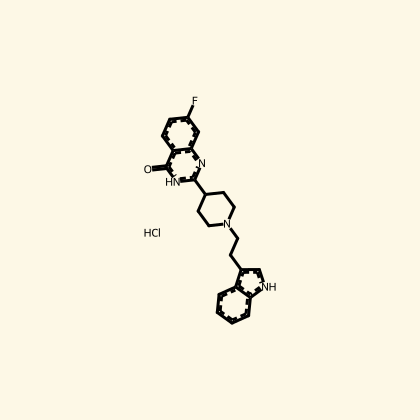 Cl.O=c1[nH]c(C2CCN(CCc3c[nH]c4ccccc34)CC2)nc2cc(F)ccc12